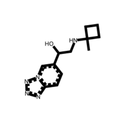 CC1(NCC(O)c2ccc3nnnn3c2)CCC1